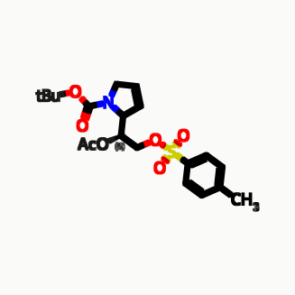 CC(=O)O[C@H](COS(=O)(=O)c1ccc(C)cc1)C1C=CCN1C(=O)OC(C)(C)C